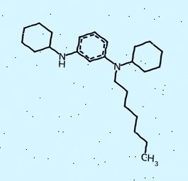 CCCCCCCN(c1cccc(NC2CCCCC2)c1)C1CCCCC1